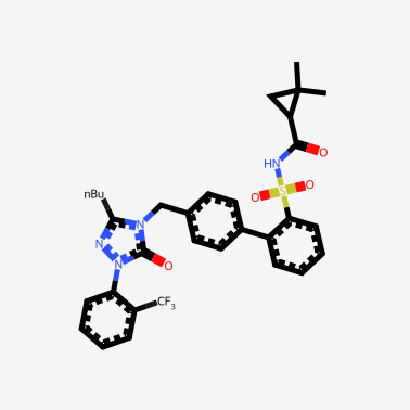 CCCCc1nn(-c2ccccc2C(F)(F)F)c(=O)n1Cc1ccc(-c2ccccc2S(=O)(=O)NC(=O)C2CC2(C)C)cc1